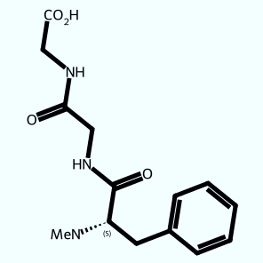 CN[C@@H](Cc1ccccc1)C(=O)NCC(=O)NCC(=O)O